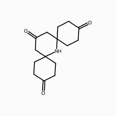 O=C1CCC2(CC1)CC(=O)CC1(CCC(=O)CC1)N2